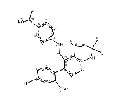 COc1cc(F)ccc1-c1ccc2c(c1CNc1ccc(C(C)O)cc1)C(C)=CC(C)(C)N2